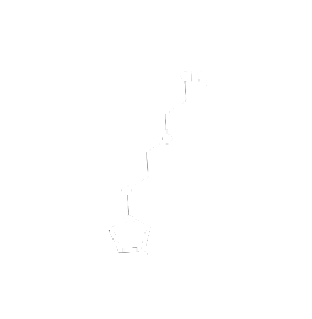 CCCOCCOc1ccsc1